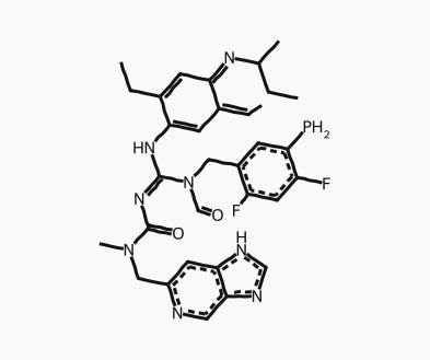 C/C=C1/C=C(N/C(=N/C(=O)N(C)Cc2cc3[nH]cnc3cn2)N(C=O)Cc2cc(P)c(F)cc2F)C(CC)=C/C1=N/C(C)CC